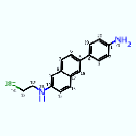 Nc1ccc(-c2ccc3cc(NCC[18F])ccc3c2)cc1